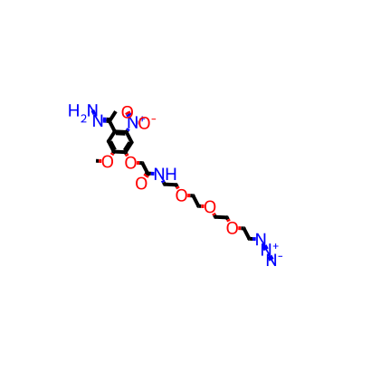 COc1cc(C(C)=NN)c([N+](=O)[O-])cc1OCC(=O)NCCOCCOCCOCCN=[N+]=[N-]